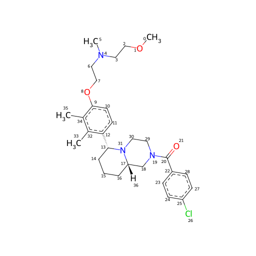 COCCN(C)CCOc1ccc([C@H]2CCC[C@H]3CN(C(=O)c4ccc(Cl)cc4)CCN32)c(C)c1C